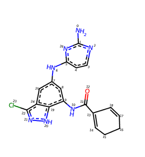 Nc1nccc(Nc2cc(NC(=O)C3=CCCC=C3)c3[nH]nc(Cl)c3c2)n1